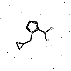 OB(O)c1cccn1CC1CC1